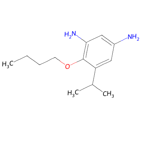 CCCCOc1c(N)cc(N)cc1C(C)C